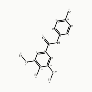 CCOc1cc(C(=O)Nc2ccc(C(C)=O)cc2)cc(OCC)c1Br